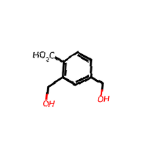 O=C(O)c1ccc(CO)cc1CO